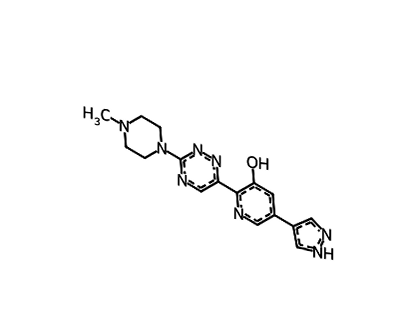 CN1CCN(c2ncc(-c3ncc(-c4cn[nH]c4)cc3O)nn2)CC1